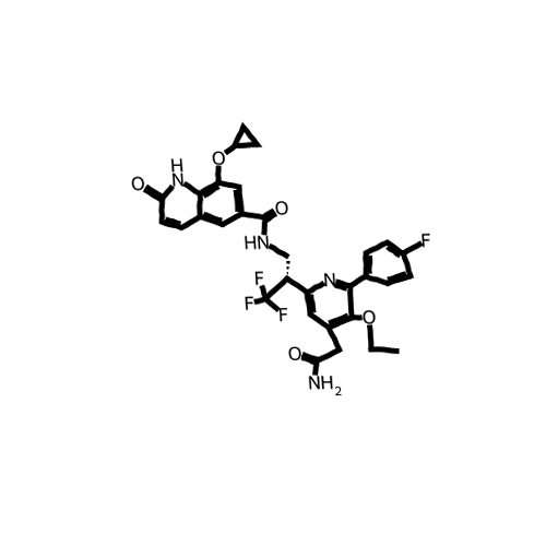 CCOc1c(CC(N)=O)cc([C@@H](CNC(=O)c2cc(OC3CC3)c3[nH]c(=O)ccc3c2)C(F)(F)F)nc1-c1ccc(F)cc1